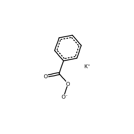 O=C(O[O-])c1ccccc1.[K+]